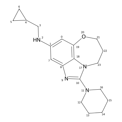 c1c(NCC2CC2)cc2nc(N3CCCCC3)n3c2c1OCCC3